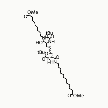 COC(=O)CCCCCCCCCCCNC(=O)C(CSSCC(NC(=O)OC(C)(C)C)C(O)NCCCCCCCCC(=O)OC)NC(=O)OC(C)(C)C